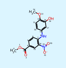 COC(=O)c1ccc(Nc2ccc(OC)c(O)c2)c([N+](=O)[O-])c1